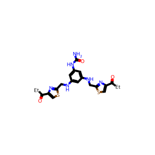 CCC(=O)c1csc(CNc2cc(NCc3nc(C(=O)CC)cs3)cc(NC(N)=O)c2)n1